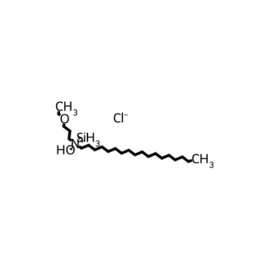 CCCCCCCCCCCCCCCCCC[N+](O)([SiH3])CCCOCC.[Cl-]